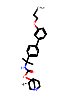 COCCOc1cccc(-c2ccc(C(C)(C)NC(=O)O[C@@H]3CN4CCC3CC4)cc2)c1